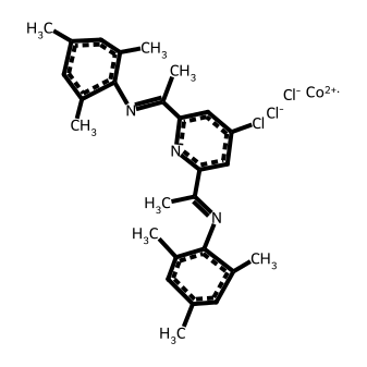 CC(=Nc1c(C)cc(C)cc1C)c1cc(Cl)cc(C(C)=Nc2c(C)cc(C)cc2C)n1.[Cl-].[Cl-].[Co+2]